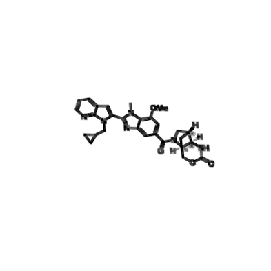 COc1cc(C(=O)N2C[C@H]3CC4OC(=O)N[C@H]3[C@@H]42)cc2nc(-c3cc4cccnc4n3CC3CC3)n(C)c12